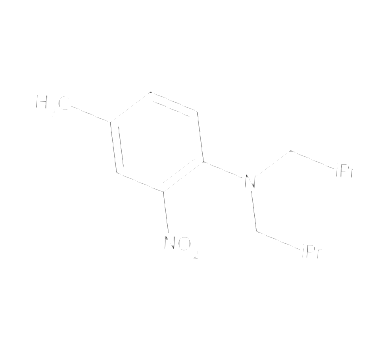 Cc1ccc(N(CC(C)C)CC(C)C)c([N+](=O)[O-])c1